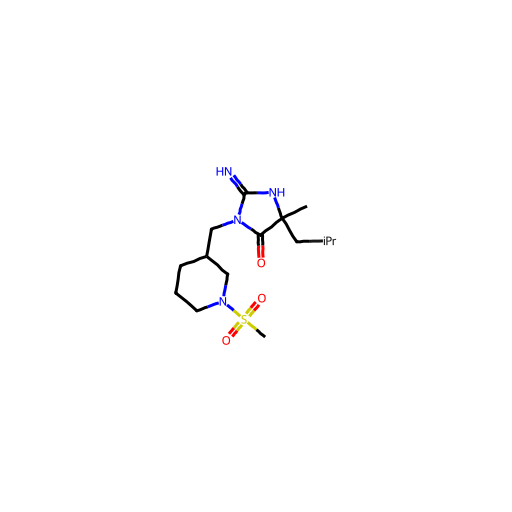 CC(C)CC1(C)NC(=N)N(CC2CCCN(S(C)(=O)=O)C2)C1=O